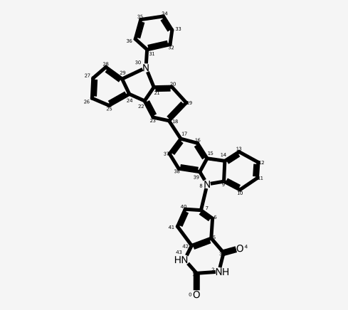 O=c1[nH]c(=O)c2cc(-n3c4ccccc4c4cc(-c5ccc6c(c5)c5ccccc5n6-c5ccccc5)ccc43)ccc2[nH]1